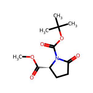 COC(=O)[C@H]1CCC(=O)N1C(=O)OC(C)(C)C